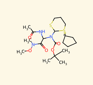 CON(C)C(=O)C(NC(C)=O)N(C(=O)OC(C)(C)C)C1SCCCS1=C1CCCC1